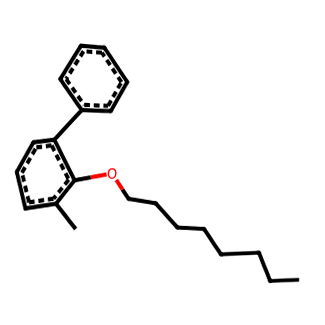 CCCCCCCCOc1c(C)cccc1-c1ccccc1